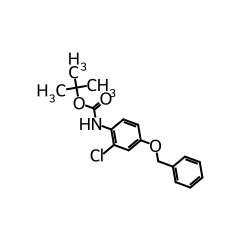 CC(C)(C)OC(=O)Nc1ccc(OCc2ccccc2)cc1Cl